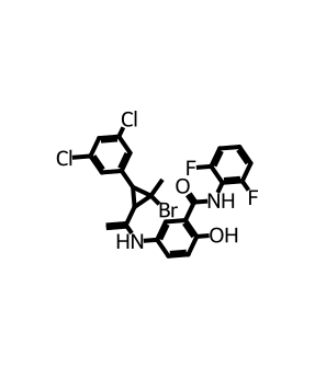 C=C(Nc1ccc(O)c(C(=O)Nc2c(F)cccc2F)c1)C1C(c2cc(Cl)cc(Cl)c2)C1(C)Br